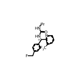 CC(C)NC(=O)N[C@@H](c1ccc(CF)cc1)c1ncccc1C(F)(F)F